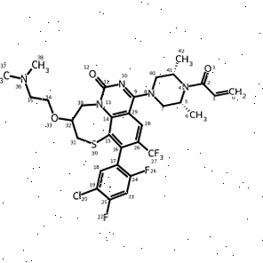 C=CC(=O)N1[C@H](C)CN(c2nc(=O)n3c4c(c(-c5cc(Cl)c(F)cc5F)c(C(F)(F)F)cc24)SCC(OCCN(C)C)C3)C[C@@H]1C